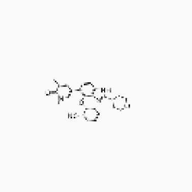 Cc1cc(-c2ccc3[nH]c(C4CCOCC4)nc3c2Oc2ccccc2C#N)cn(C)c1=O